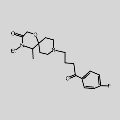 CCN1C(=O)COC2(CCN(CCCC(=O)c3ccc(F)cc3)CC2)C1C